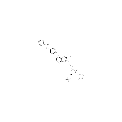 COc1cc2c(Oc3ccc(NC(=O)c4ccccc4)cc3)ccnc2cc1OCC[C@H](NC(=O)OC(C)(C)C)C(=O)OC1CCCC1C